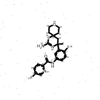 CC1(c2cc(NC(=O)c3ccc(F)cn3)ccc2F)CC2(CCOCC2)SC(N)=N1